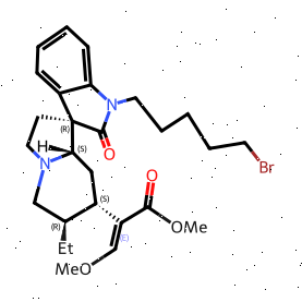 CC[C@H]1CN2CC[C@]3(C(=O)N(CCCCCBr)c4ccccc43)[C@@H]2C[C@@H]1/C(=C\OC)C(=O)OC